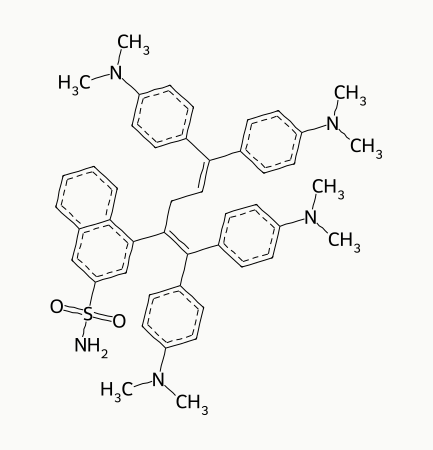 CN(C)c1ccc(C(=CCC(=C(c2ccc(N(C)C)cc2)c2ccc(N(C)C)cc2)c2cc(S(N)(=O)=O)cc3ccccc23)c2ccc(N(C)C)cc2)cc1